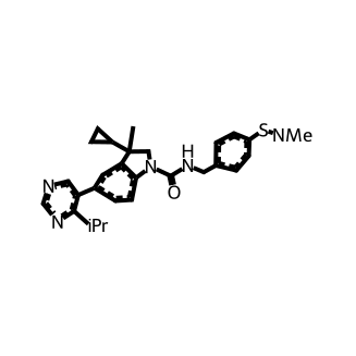 CNSc1ccc(CNC(=O)N2CC(C)(C3CC3)c3cc(-c4cncnc4C(C)C)ccc32)cc1